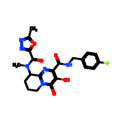 Cc1nnc(C(=O)N(C)C2CCCn3c2nc(C(=O)NCc2ccc(F)cc2)c(O)c3=O)o1